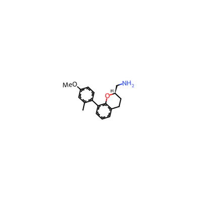 COc1ccc(-c2cccc3c2O[C@@H](CN)CC3)c(C)c1